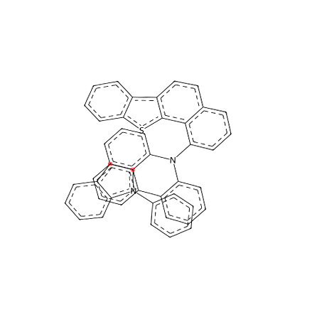 c1ccc(-c2ccccc2N(c2cccc3ccc4c5ccccc5sc4c23)c2cccc3c4ccccc4n(-c4ccccc4)c23)cc1